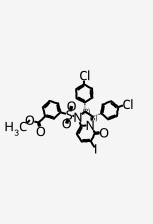 COC(=O)c1cccc(S(=O)(=O)N2c3ccc(I)c(=O)n3[C@@H](c3ccc(Cl)cc3)[C@H]2c2ccc(Cl)cc2)c1